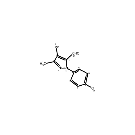 CC(=O)c1c(C)nn(-c2ccc(Cl)cc2)c1C=O